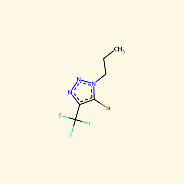 CCCn1nnc(C(F)(F)F)c1Br